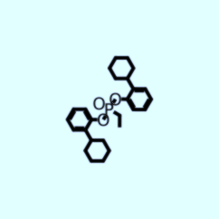 CCP(=O)(Oc1ccccc1C1CCCCC1)Oc1ccccc1C1CCCCC1